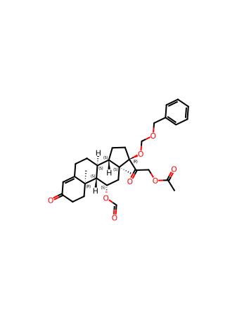 CC(=O)OCC(=O)[C@@]1(OCOCc2ccccc2)CC[C@H]2[C@@H]3CCC4=CC(=O)CC[C@]4(C)[C@H]3[C@@H](OC=O)C[C@@]21C